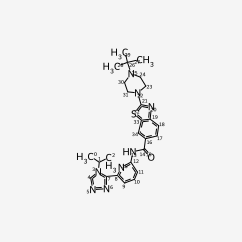 CC(C)n1cnnc1-c1cccc(NC(=O)c2ccc3nc(N4CCN(C(C)(C)C)CC4)sc3c2)n1